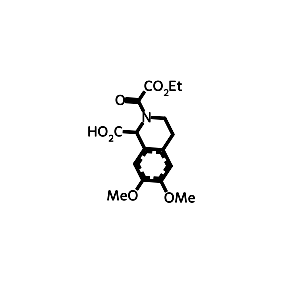 CCOC(=O)C(=O)N1CCc2cc(OC)c(OC)cc2C1C(=O)O